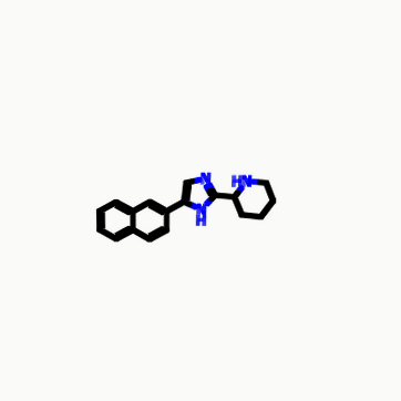 c1ccc2cc(-c3cnc(C4CCCCN4)[nH]3)ccc2c1